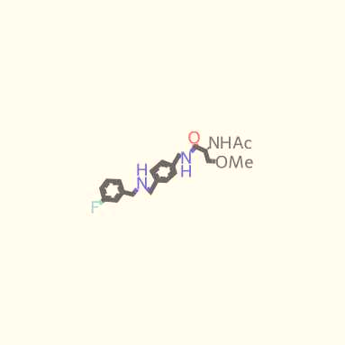 COC[C@@H](NC(C)=O)C(=O)NCc1ccc(CNCc2cccc(F)c2)cc1